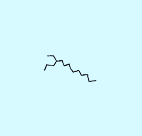 CCCCCCC[CH]CC(CC)CCC